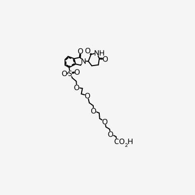 O=C(O)COCCOCCOCCOCCOCCS(=O)(=O)c1cccc2c1CN(C1CCC(=O)NC1=O)C2=O